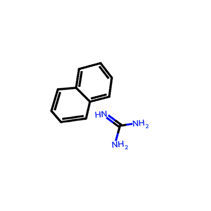 N=C(N)N.c1ccc2ccccc2c1